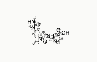 C=CCN(CC=C)C(=O)C(CCCCN(C)C(=O)NC)NCc1cc(C(=O)O)ccn1